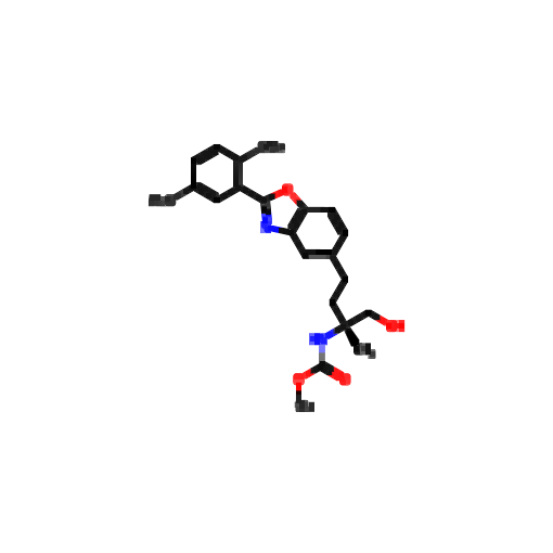 COc1ccc(OC)c(-c2nc3cc(CC[C@](C)(CO)NC(=O)OC(C)(C)C)ccc3o2)c1